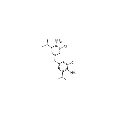 CC(C)c1cc(Cc2cc(Cl)c(N)c(C(C)C)c2)cc(Cl)c1N